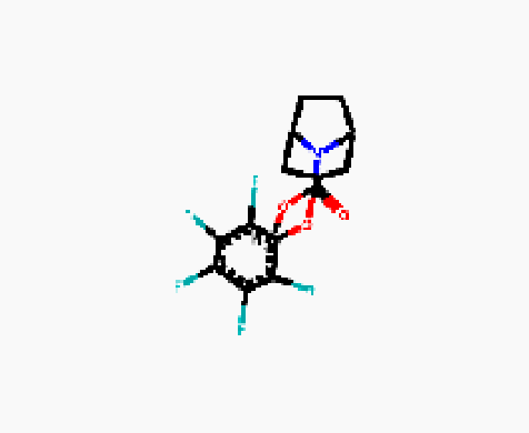 COC(=O)N1C2CCC1CC(Oc1c(F)c(F)c(F)c(F)c1F)C2